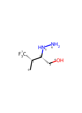 C[C@@H]([C@@H](CO)NN)C(F)(F)F